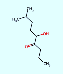 CCCC(=O)C(O)CCC(C)C